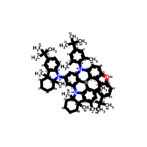 Cc1cc(C)c2c3c1B1c4c(cc(N5c6ccc(C(C)(C)C)cc6C6(C)CCCCC56C)cc4N3C3(C)CCCCC23C)N(c2c(C)cc(C(C)(C)C)cc2C)c2ccc3oc4ccc(C(C)(C)C)cc4c3c21